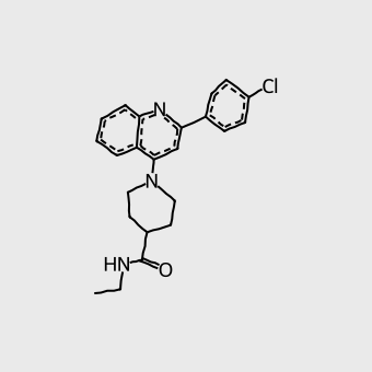 CCNC(=O)C1CCN(c2cc(-c3ccc(Cl)cc3)nc3ccccc23)CC1